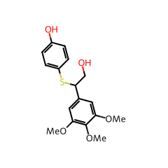 COc1cc(C(CO)Sc2ccc(O)cc2)cc(OC)c1OC